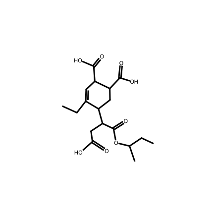 CCC1=CC(C(=O)O)C(C(=O)O)CC1C(CC(=O)O)C(=O)OC(C)CC